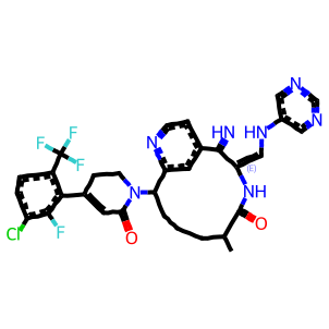 CC1CCCC(N2CCC(c3c(C(F)(F)F)ccc(Cl)c3F)=CC2=O)c2cc(ccn2)C(=N)/C(=C\Nc2cncnc2)NC1=O